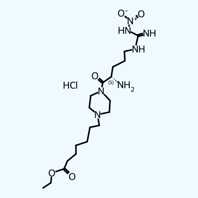 CCOC(=O)CCCCCCN1CCN(C(=O)[C@@H](N)CCCNC(=N)N[N+](=O)[O-])CC1.Cl